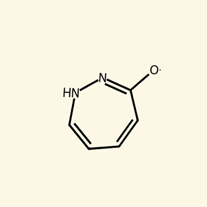 [O]C1=NNC=CC=C1